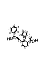 O=C(O)c1cccc(C#CC(O)c2ccccc2)c1-n1cccc1